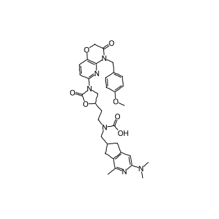 COc1ccc(CN2C(=O)COc3ccc(N4CC(CCN(CC5Cc6cc(N(C)C)nc(C)c6C5)C(=O)O)OC4=O)nc32)cc1